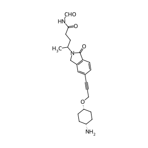 CC(CCC(=O)NC=O)N1Cc2cc(C#CCO[C@H]3CC[C@@H](N)CC3)ccc2C1=O